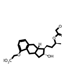 COCC(=O)O[C@@H](C)CC[C@H]1[C@H](O)CC2Cc3c(cccc3OCC(=O)O)C[C@@H]21